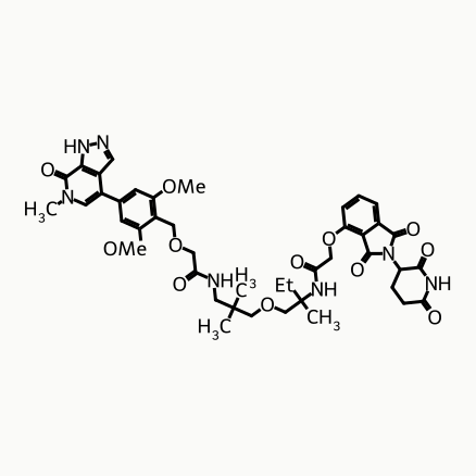 CCC(C)(COCC(C)(C)CNC(=O)COCc1c(OC)cc(-c2cn(C)c(=O)c3[nH]ncc23)cc1OC)NC(=O)COc1cccc2c1C(=O)N(C1CCC(=O)NC1=O)C2=O